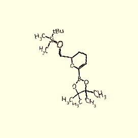 CC1(C)OB(C2=CCCC(CO[Si](C)(C)C(C)(C)C)O2)OC1(C)C